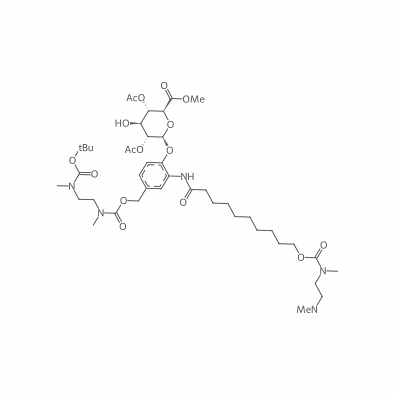 CNCCN(C)C(=O)OCCCCCCCCCC(=O)Nc1cc(COC(=O)N(C)CCN(C)C(=O)OC(C)(C)C)ccc1O[C@@H]1O[C@H](C(=O)OC)[C@@H](OC(C)=O)[C@H](O)[C@H]1OC(C)=O